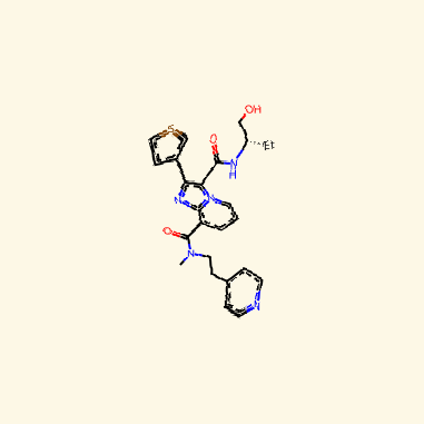 CC[C@@H](CO)NC(=O)c1c(-c2ccsc2)nc2c(C(=O)N(C)CCc3ccncc3)cccn12